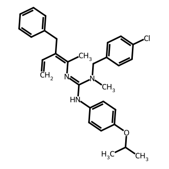 C=C/C(Cc1ccccc1)=C(C)\N=C(\Nc1ccc(OC(C)C)cc1)N(C)Cc1ccc(Cl)cc1